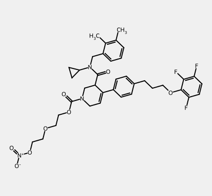 Cc1cccc(CN(C(=O)C2CN(C(=O)OCCOCCO[N+](=O)[O-])CC=C2c2ccc(CCCOc3c(F)ccc(F)c3F)cc2)C2CC2)c1C